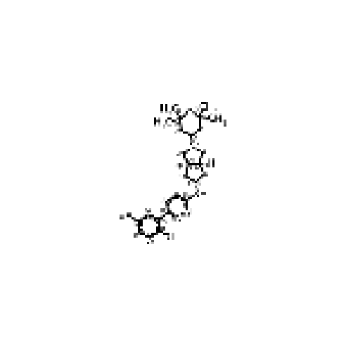 CC1(C)CC(N2C[C@H]3C[C@H](Nc4ccc(-c5cc(F)ccc5Cl)nn4)C[C@H]3C2)CC(C)(C)O1